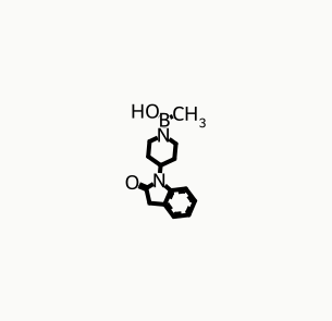 CB(O)N1CCC(N2C(=O)Cc3ccccc32)CC1